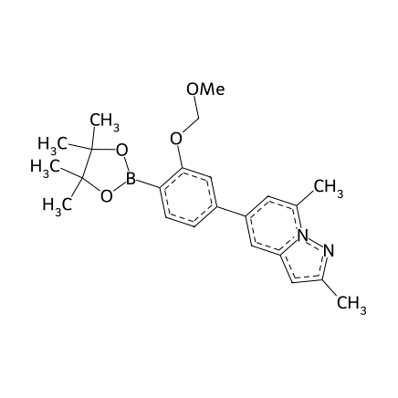 COCOc1cc(-c2cc(C)n3nc(C)cc3c2)ccc1B1OC(C)(C)C(C)(C)O1